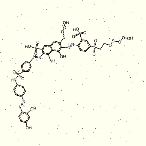 Nc1c(/N=N/c2ccc(S(=O)(=O)Nc3ccc(/N=N/c4ccc(O)cc4O)cc3)cc2)c(S(=O)(=O)O)cc2cc(SOOO)c(/N=N/c3ccc(S(=O)(=O)CCOSOOO)cc3S(=O)(=O)O)c(O)c12